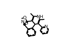 COC(=O)C1=C(C)NC(C)=C(c2ccccn2)C1c1ccccc1C#N